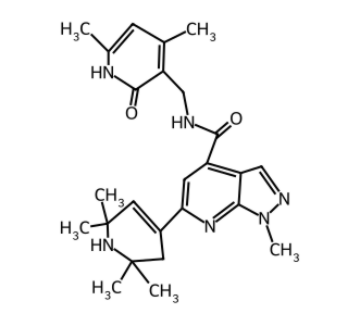 Cc1cc(C)c(CNC(=O)c2cc(C3=CC(C)(C)NC(C)(C)C3)nc3c2cnn3C)c(=O)[nH]1